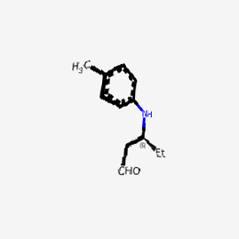 CC[C@@H](CC=O)Nc1ccc(C)cc1